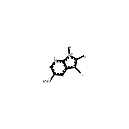 COc1cnc2c(c1)c(I)c(C)n2C